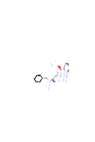 C=C(CNC(=O)[C@@H]1CCCN1)NCc1cccc(Br)c1